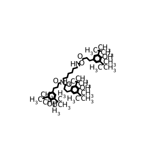 CC(C)(C)c1cc(CCC(=O)ONCCCCCCN(C(=O)CCc2cc(C(C)(C)C)c(O)c(C(C)(C)C)c2)C(=O)CCc2cc(C(C)(C)C)c(O)c(C(C)(C)C)c2)cc(C(C)(C)C)c1O